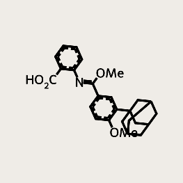 COC(=Nc1ccccc1C(=O)O)c1ccc(OC)c(C23CC4CC(CC(C4)C2)C3)c1